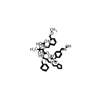 COCc1cccc(CN(C(=O)O)[C@H](C(=O)N[C@@H](Cc2ccccc2)[C@H](O)CN(CC2CCCC2)S(=O)(=O)c2ccc(/C=N/O)cc2)C(C)(C)C)n1